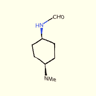 CN[C@H]1CC[C@@H](NC=O)CC1